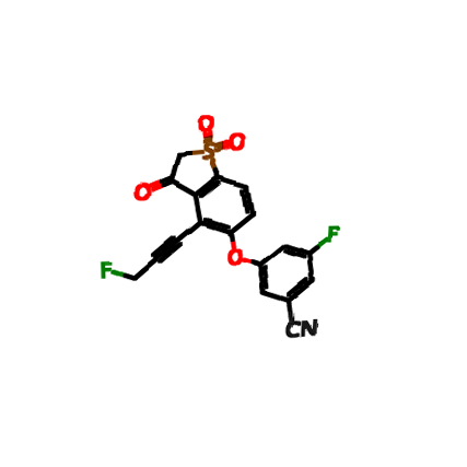 N#Cc1cc(F)cc(Oc2ccc3c(c2C#CCF)C(=O)CS3(=O)=O)c1